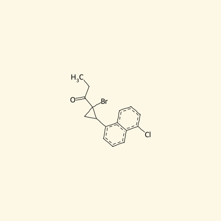 CCC(=O)C1(Br)CC1c1cccc2c(Cl)cccc12